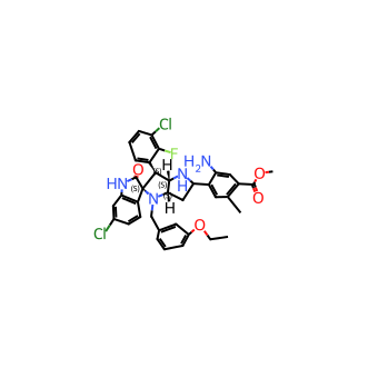 CCOc1cccc(CN2[C@H]3CC(c4cc(C)c(C(=O)OC)cc4N)N[C@H]3[C@H](c3cccc(Cl)c3F)[C@]23C(=O)Nc2cc(Cl)ccc23)c1